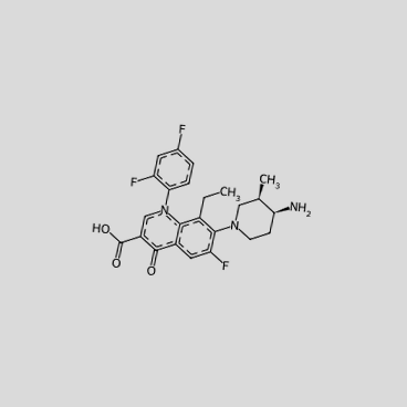 CCc1c(N2CC[C@H](N)[C@H](C)C2)c(F)cc2c(=O)c(C(=O)O)cn(-c3ccc(F)cc3F)c12